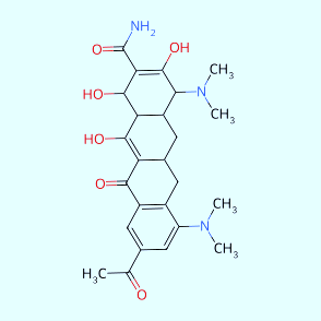 CC(=O)c1cc2c(c(N(C)C)c1)CC1CC3C(C(O)=C1C2=O)C(O)C(C(N)=O)=C(O)C3N(C)C